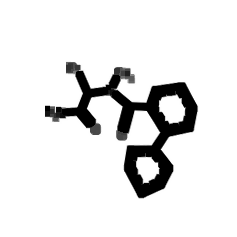 CC(C)C(C(N)=O)N(C)C(=O)c1ccccc1-c1ccccc1